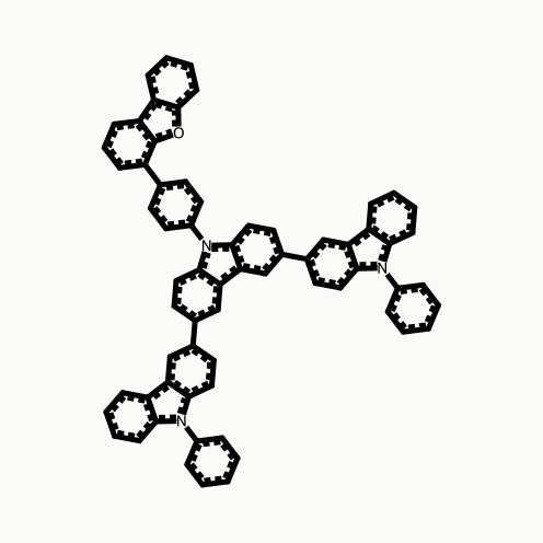 c1ccc(-n2c3ccccc3c3cc(-c4ccc5c(c4)c4cc(-c6ccc7c(c6)c6ccccc6n7-c6ccccc6)ccc4n5-c4ccc(-c5cccc6c5oc5ccccc56)cc4)ccc32)cc1